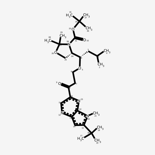 CC(C)C[C@H](OCCC(=O)c1cnc2cc(C(C)(C)C)n(C)c2n1)[C@@H]1COC(C)(C)N1C(=O)OC(C)(C)C